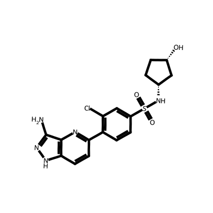 Nc1n[nH]c2ccc(-c3ccc(S(=O)(=O)N[C@@H]4CC[C@H](O)C4)cc3Cl)nc12